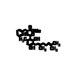 COC(=O)[C@H](Cc1ccccc1)NC(=O)c1c(C)cc(O)c(C/C=C(\C)CCC=C(C)C)c1O